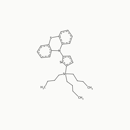 CCC[CH2][Sn]([CH2]CCC)([CH2]CCC)[c]1ccc(N2c3ccccc3Sc3ccccc32)[se]1